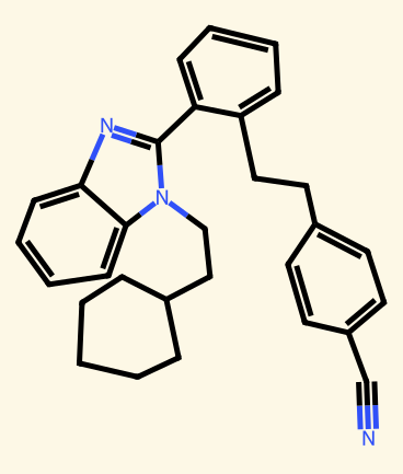 N#Cc1ccc(CCc2ccccc2-c2nc3ccccc3n2CCC2CCCCC2)cc1